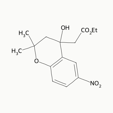 CCOC(=O)CC1(O)CC(C)(C)Oc2ccc([N+](=O)[O-])cc21